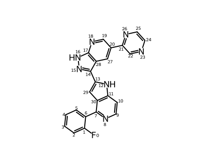 Fc1ccccc1-c1nccc2[nH]c(-c3n[nH]c4ncc(-c5cnccn5)cc34)cc12